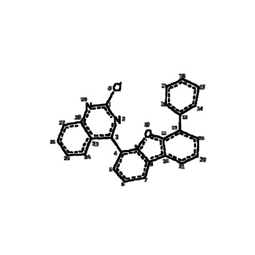 Clc1nc(-c2cccc3c2oc2c(-c4ccccc4)cccc23)c2ccccc2n1